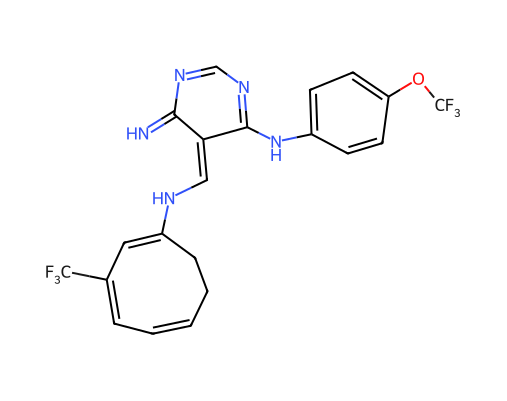 N=C1N=CN=C(Nc2ccc(OC(F)(F)F)cc2)/C1=C/N/C1=C/C(C(F)(F)F)=C\C=C/CC1